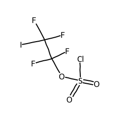 O=S(=O)(Cl)OC(F)(F)C(F)(F)I